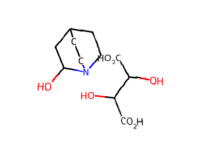 O=C(O)C(O)C(O)C(=O)O.OC1CC2CCN1CC2